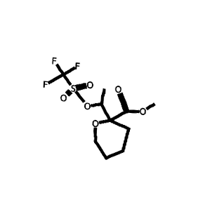 COC(=O)C1(C(C)OS(=O)(=O)C(F)(F)F)CCCCO1